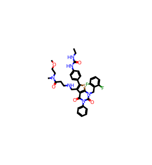 CCNC(=O)Nc1ccc(-c2sc3c(c2CNCCC(=O)N(C)CCOC)c(=O)n(-c2ccccc2)c(=O)n3Cc2c(F)cccc2F)cc1